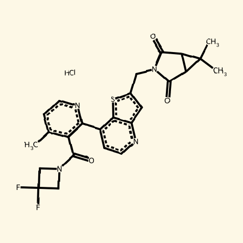 Cc1ccnc(-c2ccnc3cc(CN4C(=O)C5C(C4=O)C5(C)C)sc23)c1C(=O)N1CC(F)(F)C1.Cl